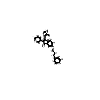 Cc1ncsc1C1=C(c2cccnc2)C(=O)c2cc(OCCCc3ccccc3)ccc21